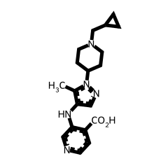 Cc1c(Nc2cnccc2C(=O)O)cnn1C1CCN(CC2CC2)CC1